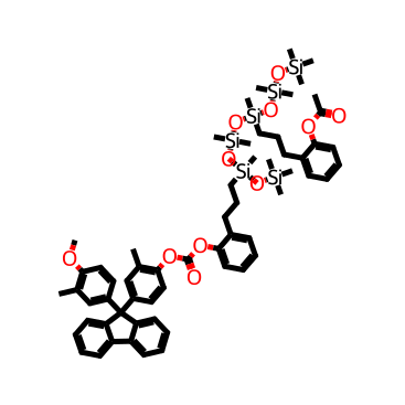 COc1ccc(C2(c3ccc(OC(=O)Oc4ccccc4CCC[Si](C)(O[Si](C)(C)C)O[Si](C)(C)O[Si](C)(CCCc4ccccc4OC(C)=O)O[Si](C)(C)O[Si](C)(C)C)c(C)c3)c3ccccc3-c3ccccc32)cc1C